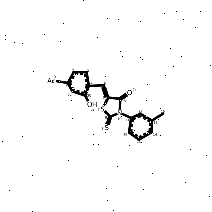 CC(=O)c1ccc(/C=C2\SC(=S)N(c3cccc(C)c3)C2=O)c(O)c1